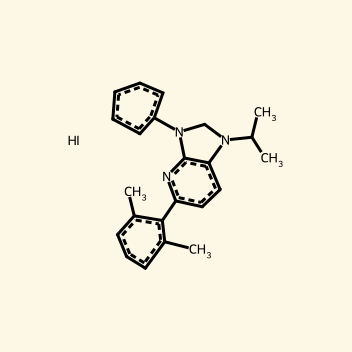 Cc1cccc(C)c1-c1ccc2c(n1)N(c1ccccc1)CN2C(C)C.I